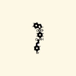 O=C(/C=C/c1ccc(Br)cc1)Nc1ccc(S(=O)(=O)N2CCc3ccccc32)cc1